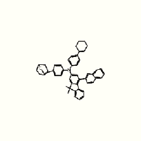 CC1(C)c2ccccc2-c2c(-c3ccc4ccccc4c3)cc(N(c3ccc(C4CCCCC4)cc3)c3ccc(C4CC5CCC4CC5)cc3)cc21